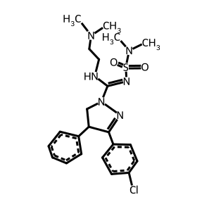 CN(C)CCN/C(=N\S(=O)(=O)N(C)C)N1CC(c2ccccc2)C(c2ccc(Cl)cc2)=N1